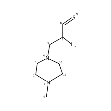 CN1CCN(CC(I)[C]=S)CC1